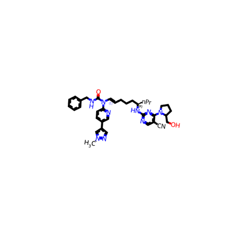 CCC[C@H](CCC/C=C/N(C(=O)NCc1ccccc1)c1ccc(-c2cnn(C)c2)cn1)Nc1ncc(C#N)c(N2CCCC2CO)n1